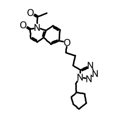 CC(=O)n1c(=O)ccc2cc(OCCCc3nnnn3CC3CCCCC3)ccc21